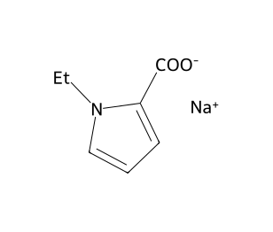 CCn1cccc1C(=O)[O-].[Na+]